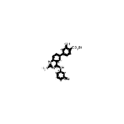 CCOC(=O)c1ccc(-c2ccc3nc(N)nc(Nc4cccc(Br)c4)c3c2)cc1O